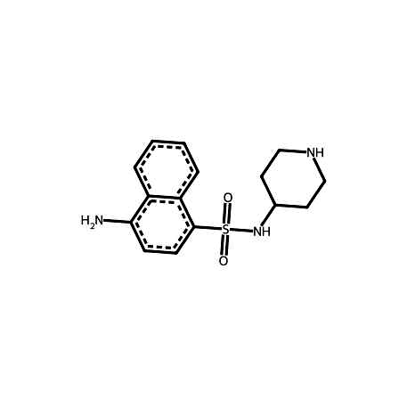 Nc1ccc(S(=O)(=O)NC2CCNCC2)c2ccccc12